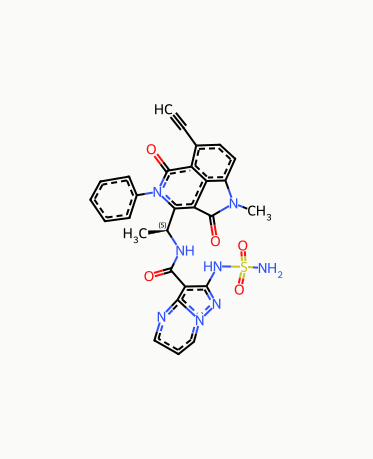 C#Cc1ccc2c3c(c([C@H](C)NC(=O)c4c(NS(N)(=O)=O)nn5cccnc45)n(-c4ccccc4)c(=O)c13)C(=O)N2C